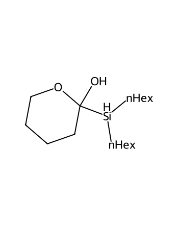 CCCCCC[SiH](CCCCCC)C1(O)CCCCO1